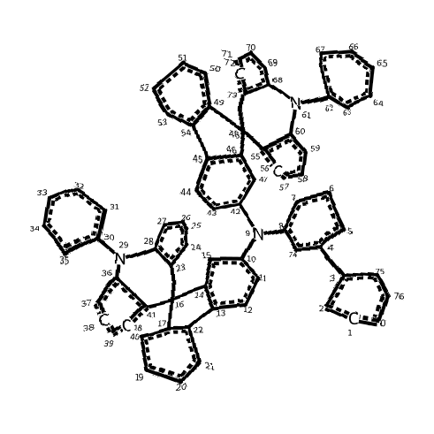 c1ccc(-c2cccc(N(c3ccc4c(c3)C3(c5ccccc5-4)c4ccccc4N(c4ccccc4)c4ccccc43)c3ccc4c(c3)C3(c5ccccc5-4)c4ccccc4N(c4ccccc4)c4ccccc43)c2)cc1